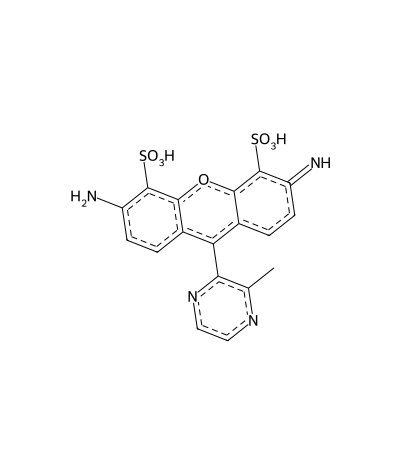 Cc1nccnc1-c1c2ccc(=N)c(S(=O)(=O)O)c-2oc2c(S(=O)(=O)O)c(N)ccc12